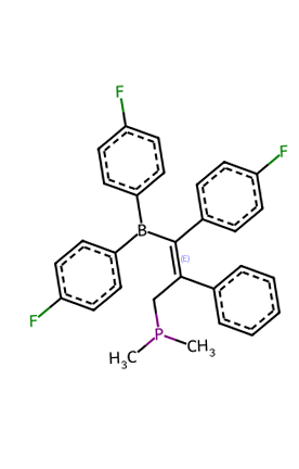 CP(C)C/C(=C(\B(c1ccc(F)cc1)c1ccc(F)cc1)c1ccc(F)cc1)c1ccccc1